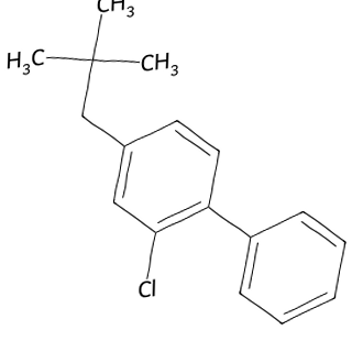 CC(C)(C)Cc1ccc(-c2ccccc2)c(Cl)c1